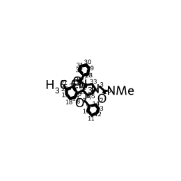 CNC(=O)CN1C[C@H](C(=O)c2ccccc2)C(c2cccc(C)c2C)[C@@H](C(=O)c2ccccc2)C1